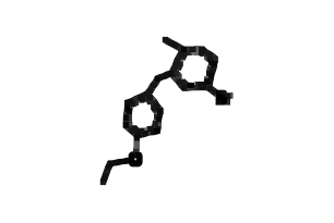 CCOc1ccc(Cc2cc(Br)ccc2C)cc1